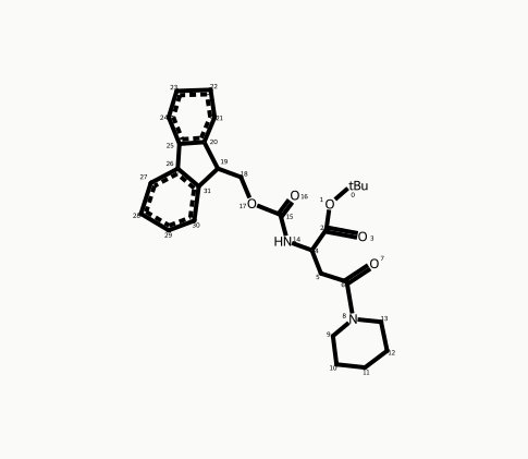 CC(C)(C)OC(=O)C(CC(=O)N1CCCCC1)NC(=O)OCC1c2ccccc2-c2ccccc21